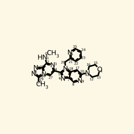 CNc1nc(-c2nc3cnc(N4CCOCC4)cc3n2Cc2ccccn2)cn2c(C)nnc12